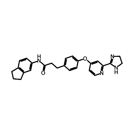 O=C(CCc1ccc(Oc2ccnc(C3=NCCN3)c2)cc1)Nc1ccc2c(c1)CCC2